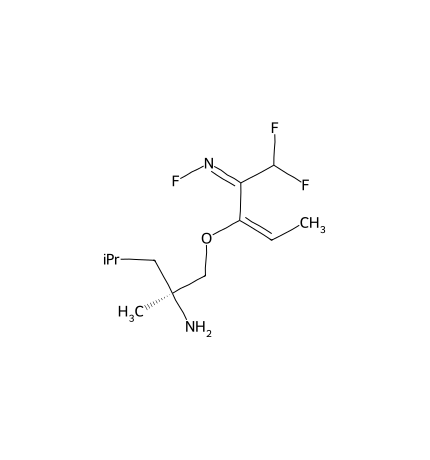 C/C=C(OC[C@@](C)(N)CC(C)C)\C(=N/F)C(F)F